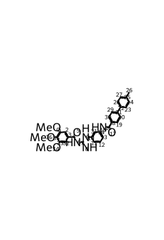 COc1cc(C(=O)NC(=N)Nc2cccc(NC(=O)c3ccc(-c4ccc(C)cc4)cc3)c2)cc(OC)c1OC